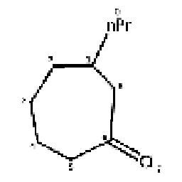 CCCC1CCCCC(=O)C1